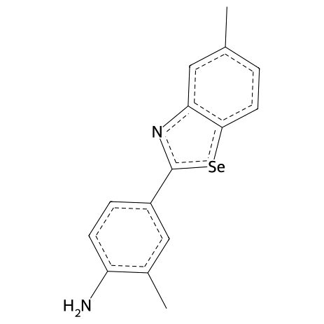 Cc1ccc2[se]c(-c3ccc(N)c(C)c3)nc2c1